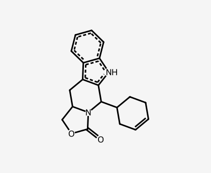 O=C1OCC2Cc3c([nH]c4ccccc34)C(C3CC=CCC3)N12